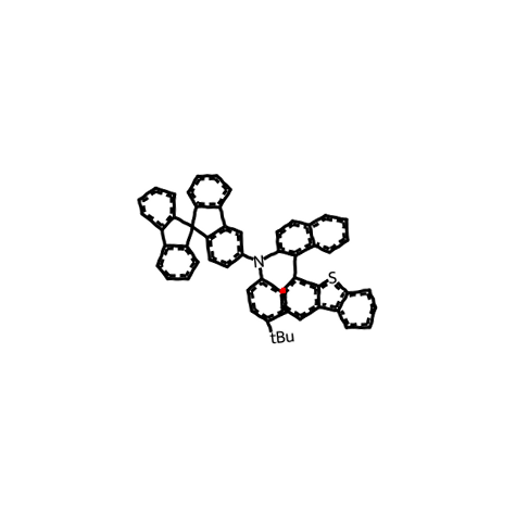 CC(C)(C)c1ccc(N(c2ccc3c(c2)-c2ccccc2C32c3ccccc3-c3ccccc32)c2ccc3ccccc3c2-c2cccc3c2sc2ccccc23)cc1